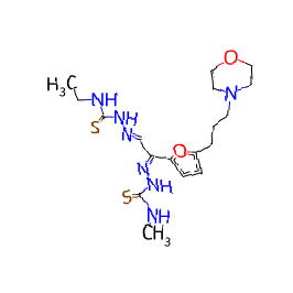 CCNC(=S)N/N=C/C(=N/NC(=S)NC)c1ccc(CCCN2CCOCC2)o1